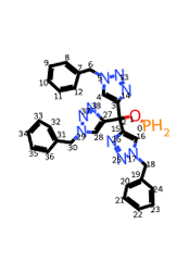 POC(c1cn(Cc2ccccc2)nn1)(c1cn(Cc2ccccc2)nn1)c1cn(Cc2ccccc2)nn1